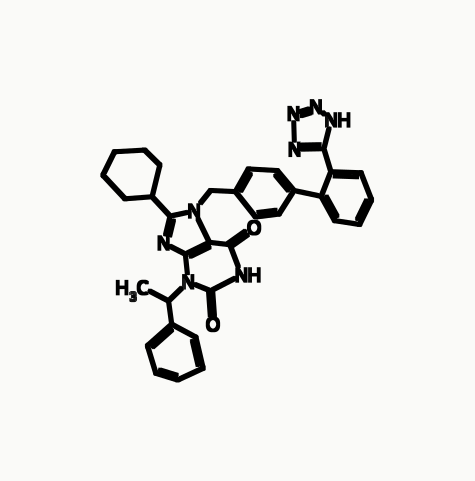 CC(c1ccccc1)n1c(=O)[nH]c(=O)c2c1nc(C1CCCCC1)n2Cc1ccc(-c2ccccc2-c2nnn[nH]2)cc1